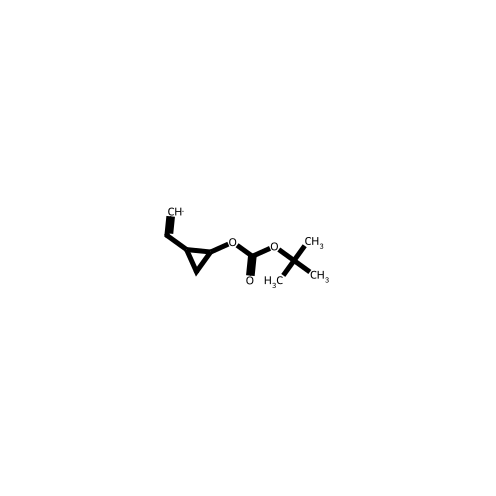 [CH]=CC1CC1OC(=O)OC(C)(C)C